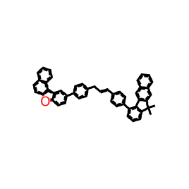 CC1(C)c2cc3ccccc3cc2-c2c(-c3ccc(/C=C/Cc4ccc(-c5ccc6oc7ccc8ccccc8c7c6c5)cc4)cc3)cccc21